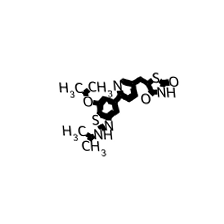 CC(C)Nc1nc2cc(-c3ccc(CC4SC(=O)NC4=O)cn3)cc(OC(C)C)c2s1